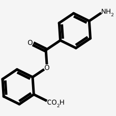 Nc1ccc(C(=O)Oc2ccccc2C(=O)O)cc1